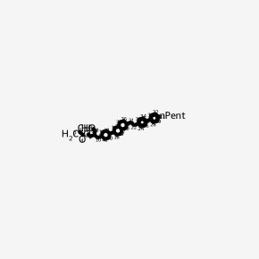 C=C(C)C(=O)OCC(CO)CC1CCC(C2CCC3CC(CCc4ccc(-c5ccc(CCCCC)cc5)cc4)CCC3C2)CC1